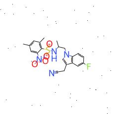 Cc1cc(C)c(S(=O)(=O)NC(C)Cn2cc(CC#N)c3cc(F)ccc32)c([N+](=O)[O-])c1